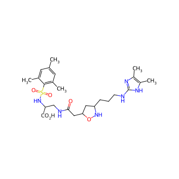 Cc1cc(C)c(S(=O)(=O)NC(CNC(=O)CC2CC(CCCNc3nc(C)c(C)[nH]3)NO2)C(=O)O)c(C)c1